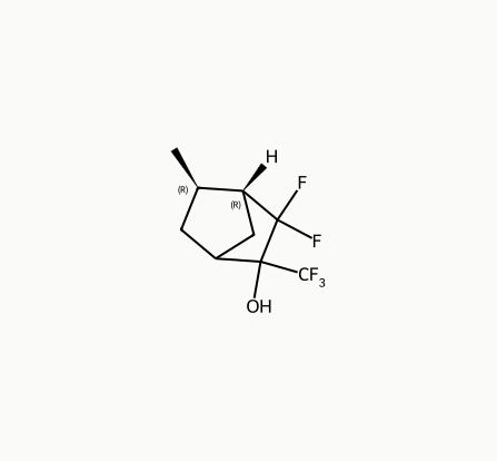 C[C@@H]1CC2C[C@H]1C(F)(F)C2(O)C(F)(F)F